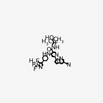 Cc1c(C2CCC(Nc3cc(-c4ccc5cc(C#N)cnn45)ncc3C(=O)NC[C@@H](F)C(C)(C)O)CC2)cnn1C(F)F